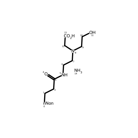 CCCCCCCCCCCC(=O)NCCN(CCO)CC(=O)O.N